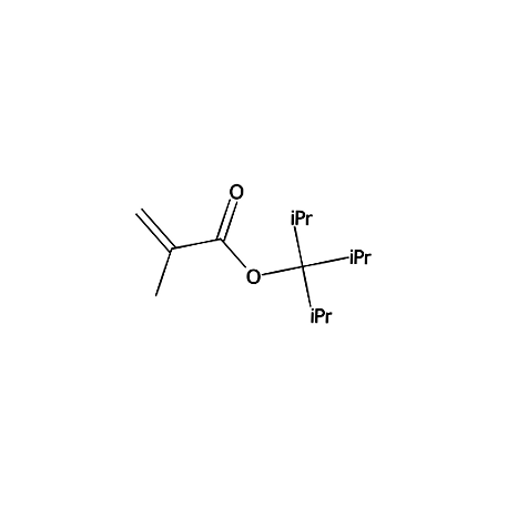 C=C(C)C(=O)OC(C(C)C)(C(C)C)C(C)C